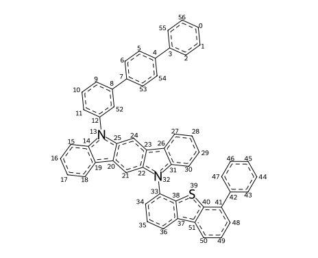 c1ccc(-c2ccc(-c3cccc(-n4c5ccccc5c5cc6c(cc54)c4ccccc4n6-c4cccc5c4sc4c(-c6ccccc6)cccc45)c3)cc2)cc1